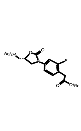 COC(=O)Cc1ccc(N2C[C@H](CNC(C)=O)OC2=O)cc1F